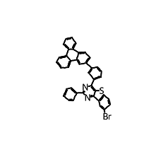 Brc1ccc2sc3c(-c4cccc(-c5ccc6c7ccccc7c7ccccc7c6c5)c4)nc(-c4ccccc4)nc3c2c1